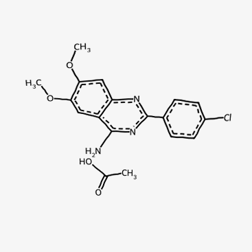 CC(=O)O.COc1cc2nc(-c3ccc(Cl)cc3)nc(N)c2cc1OC